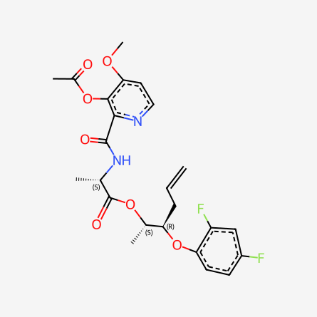 C=CC[C@@H](Oc1ccc(F)cc1F)[C@H](C)OC(=O)[C@H](C)NC(=O)c1nccc(OC)c1OC(C)=O